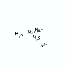 S.S.[Na+].[Na+].[S-2]